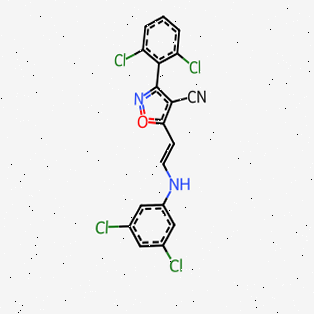 N#Cc1c(-c2c(Cl)cccc2Cl)noc1C=CNc1cc(Cl)cc(Cl)c1